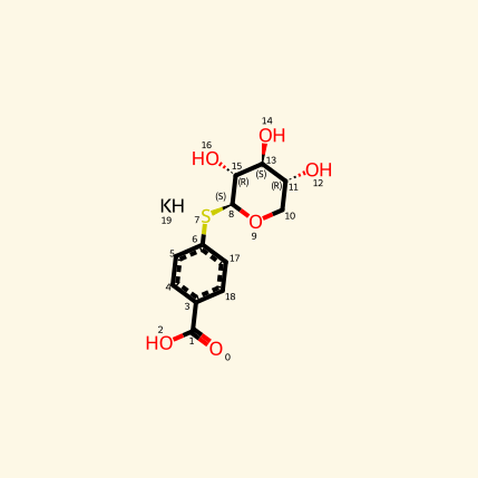 O=C(O)c1ccc(S[C@@H]2OC[C@@H](O)[C@H](O)[C@H]2O)cc1.[KH]